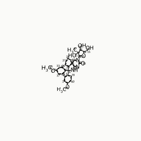 COc1ccc(C(Nc2ccn([C@@H]3O[C@H](CO)[C@H](O)C3(C)O)c(=O)n2)(c2ccccc2)c2ccc(OC)cc2)cc1